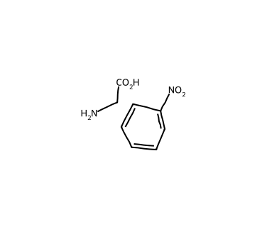 NCC(=O)O.O=[N+]([O-])c1ccccc1